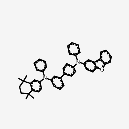 CC1(C)CCC(C)(C)c2cc(N(c3ccccc3)c3cccc(-c4ccc(N(c5ccccc5)c5ccc6oc7ccccc7c6c5)cc4)c3)ccc21